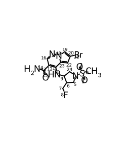 CS(=O)(=O)N1CC(CF)C(Nc2c(C(N)=O)cnn3cc(Br)cc23)C1